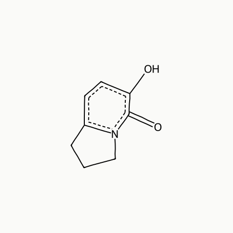 O=c1c(O)ccc2n1CCC2